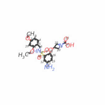 COc1ccc(CNS(=O)(=O)c2cc(N)ccc2OC2CN(C(=O)O)C2)c(OC)c1